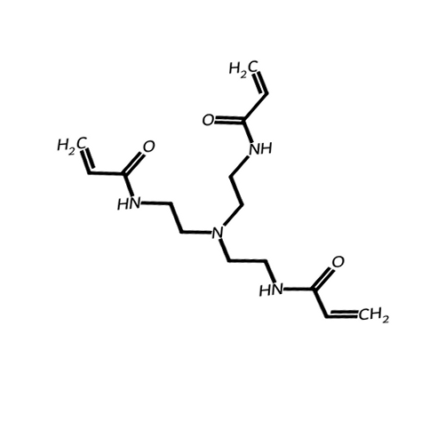 C=CC(=O)NCCN(CCNC(=O)C=C)CCNC(=O)C=C